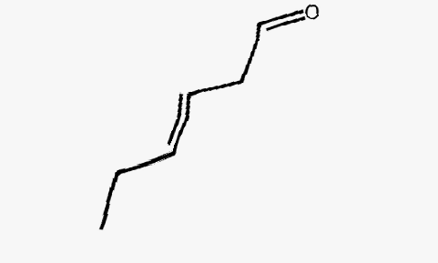 CCC=CCC=O